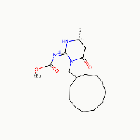 C[C@@H]1CC(=O)N(CC2CCCCCCCCCC2)/C(=N\C(=O)OC(C)(C)C)N1